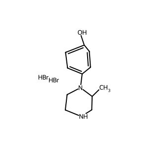 Br.Br.CC1CNCCN1c1ccc(O)cc1